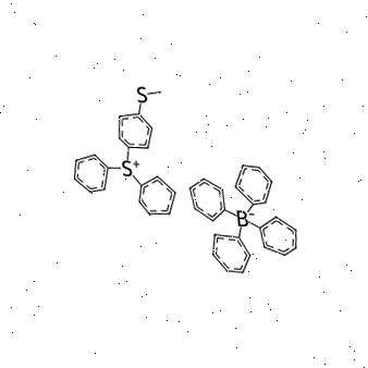 CSc1ccc([S+](c2ccccc2)c2ccccc2)cc1.c1ccc([B-](c2ccccc2)(c2ccccc2)c2ccccc2)cc1